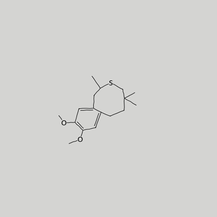 COc1cc2c(cc1OC)CC(C)SCC(C)(C)CC2